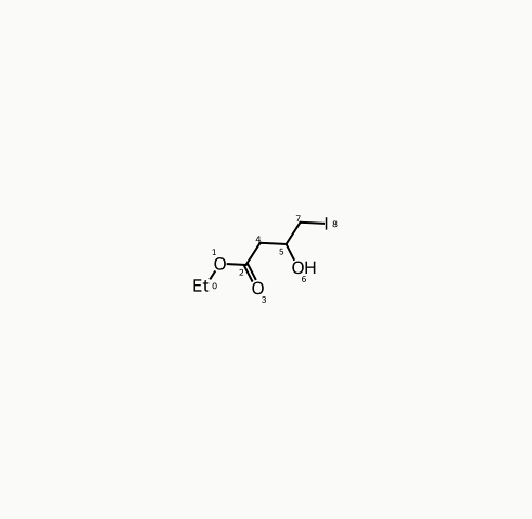 CCOC(=O)CC(O)CI